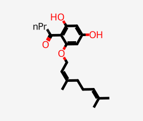 CCCC(=O)c1c(O)cc(O)cc1OCC=C(C)CCC=C(C)C